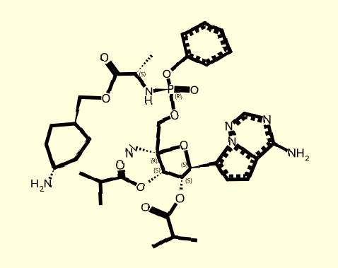 CC(C)C(=O)O[C@H]1[C@H](c2ccc3c(N)ncnn23)O[C@](C#N)(CO[P@](=O)(N[C@@H](C)C(=O)OC[C@H]2CC[C@H](N)CC2)Oc2ccccc2)[C@H]1OC(=O)C(C)C